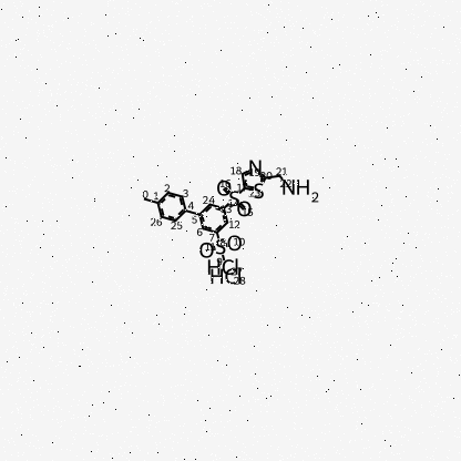 Cc1ccc(-c2cc(S(C)(=O)=O)cc(S(=O)(=O)c3cnc(CN)s3)c2)cc1.Cl.Cl